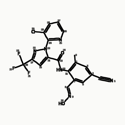 Cc1cc(C#N)cc(/C=N/O)c1NC(=O)c1cc(C(F)(F)F)nn1-c1ncccc1Cl